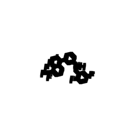 Fc1ccc(F)c(CNc2cccc(-c3[c]cnc4c(C(F)(F)F)cccc34)c2)c1